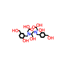 O=C(O)CN(Cc1ccc(CO)cc1O)CC(CO)N(CC(=O)O)Cc1cc(CO)ccc1O